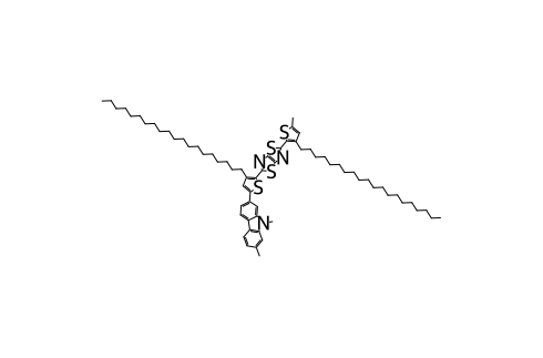 CCCCCCCCCCCCCCCCCCCCc1cc(C)sc1-c1nc2sc(-c3sc(-c4ccc5c6ccc(C)cc6n(C)c5c4)cc3CCCCCCCCCCCCCCCCCCCC)nc2s1